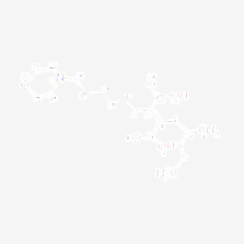 CCCC(C)CC(C(=O)O)=C(CCCCCCN1CCOCC1)C(=O)O